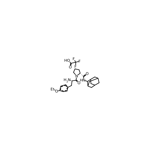 CCOc1ccc(C[C@H](N)C(=O)N2CCC[C@@H]2C(=O)NC2C3CC4CC(C3)CC2C4)cc1.O=C(O)C(F)(F)F